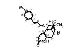 C/C=C1\[C@H]2C=C(C)C[C@]1(/N=C/C=C/c1ccc(C(C)C)cc1)c1ccc(=O)[nH]c1C2